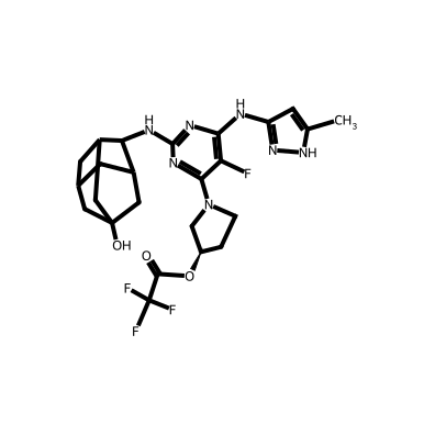 Cc1cc(Nc2nc(NC3C4CC5CC3CC(O)(C5)C4)nc(N3CC[C@@H](OC(=O)C(F)(F)F)C3)c2F)n[nH]1